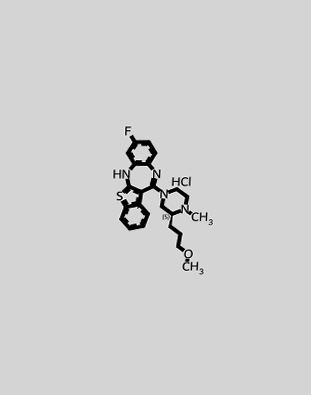 COCCC[C@H]1CN(C2=Nc3ccc(F)cc3Nc3sc4ccccc4c32)CCN1C.Cl